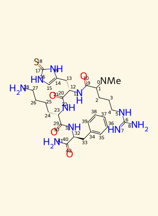 CNC(CCCNC(=N)N)C(=O)N[C@@H](Cc1c[nH]c(=S)[nH]1)C(=O)N[C@@H](CCCCN)C(=O)N[C@@H](Cc1ccccc1)C(N)=O